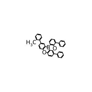 Cc1ccccc1-c1ccc2c(c1)B1c3cccc(-c4ccccc4)c3Oc3c(-c4ccccc4)ccc(c31)O2